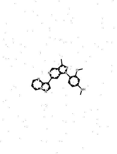 CNc1ccc(-n2nc(C)c3cnc(-c4cnn5cccnc45)cc32)c(OC)c1